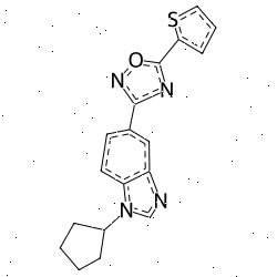 c1csc(-c2nc(-c3ccc4c(c3)ncn4C3CCCC3)no2)c1